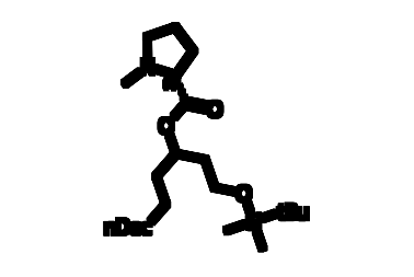 CCCCCCCCCCCCC(CCO[Si](C)(C)C(C)(C)C)OC(=O)[C@H]1CCCN1C